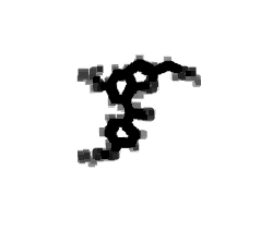 CCc1cc2cc(OC)cc(C(=O)c3ccc(OC)cc3)c2o1